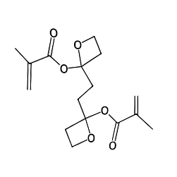 C=C(C)C(=O)OC1(CCC2(OC(=O)C(=C)C)CCO2)CCO1